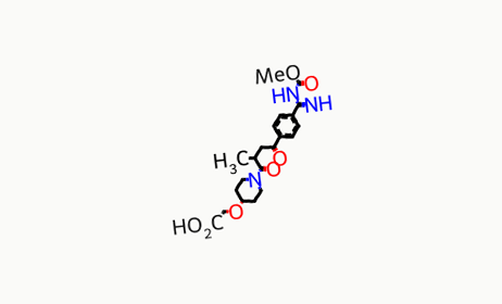 COC(=O)NC(=N)c1ccc(C(=O)CC(C)C(=O)N2CCC(OCC(=O)O)CC2)cc1